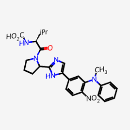 CC(C)[C@H](NC(=O)O)C(=O)N1CCCC1c1ncc(-c2ccc([N+](=O)[O-])c(N(C)c3ccccc3)c2)[nH]1